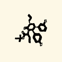 C=CC[C@@H]1C[C@H](c2cccc(Cl)c2)[C@@H](c2ccc(Cl)cc2)N(C(CC)C(=O)OC(C)(C)C)C1=O